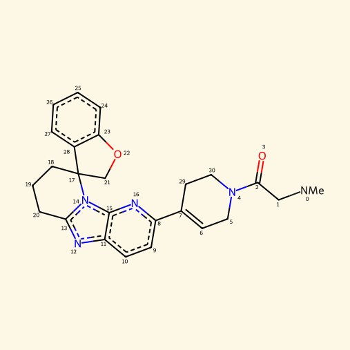 CNCC(=O)N1CC=C(c2ccc3nc4n(c3n2)C2(CCC4)COc3ccccc32)CC1